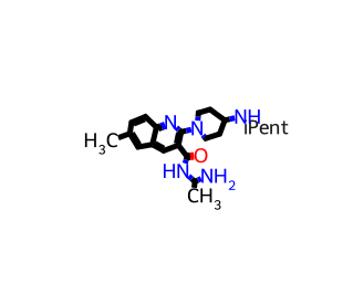 CCCC(C)NC1CCN(c2nc3ccc(C)cc3cc2C(=O)NC(C)N)CC1